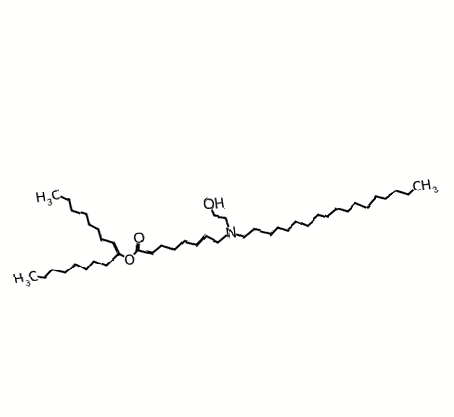 CCCCCCCCCCCCCCCCCCN(CCO)CCCCCCCC(=O)OC(CCCCCCCC)CCCCCCCC